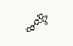 O=c1cnc2ccncc2n1Cc1cccc(-c2ccc3ccncc3c2)c1